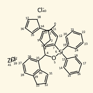 CC(CCC(O[Si](c1ccccc1)(c1ccccc1)c1ccccc1)c1cccc2c1C=CC2)C1=CC=CC1.[Cl-].[Cl-].[Zr+2]